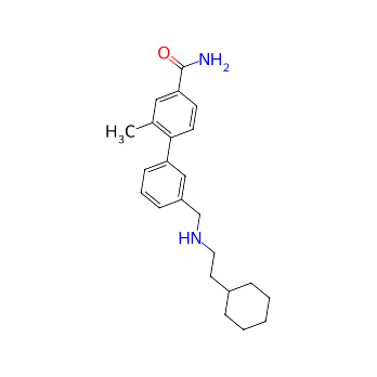 Cc1cc(C(N)=O)ccc1-c1cccc(CNCCC2CCCCC2)c1